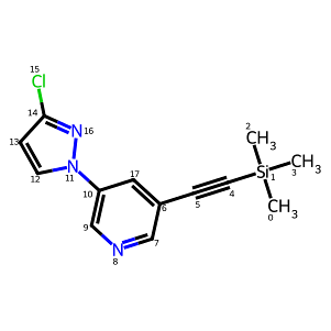 C[Si](C)(C)C#Cc1cncc(-n2ccc(Cl)n2)c1